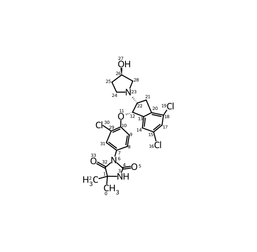 CC1(C)NC(=O)N(c2ccc(O[C@H]3c4cc(Cl)cc(Cl)c4C[C@H]3N3CC[C@@H](O)C3)c(Cl)c2)C1=O